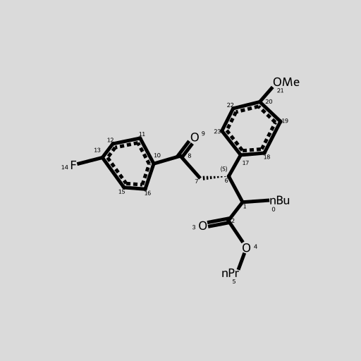 CCCCC(C(=O)OCCC)[C@H](CC(=O)c1ccc(F)cc1)c1ccc(OC)cc1